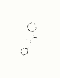 Cn1cccc1CC(O)C(=O)c1ccccc1